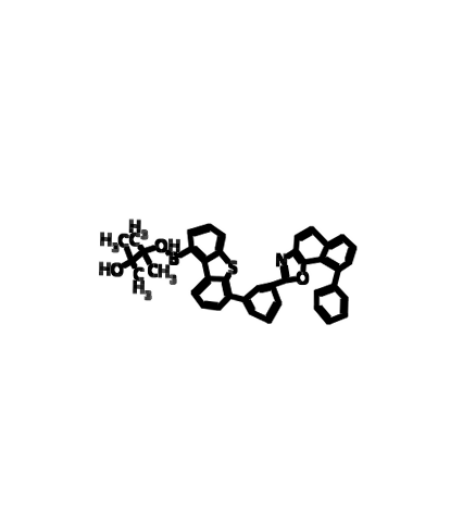 CC(C)(O)C(C)(C)OBc1cccc2sc3c(-c4cccc(-c5nc6ccc7cccc(-c8ccccc8)c7c6o5)c4)cccc3c12